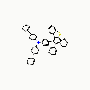 c1ccc(-c2ccc(N(c3ccc(-c4ccccc4)cc3)c3ccc(-c4c(-c5ccccc5)c5ccccc5c5sc6ccccc6c45)cc3)cc2)cc1